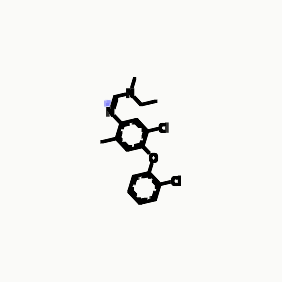 CCN(C)/C=N\c1cc(Cl)c(Oc2ccccc2Cl)cc1C